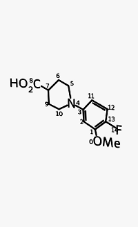 COc1cc(N2CCC(C(=O)O)CC2)ccc1F